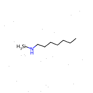 CCCCCCCN[SiH3]